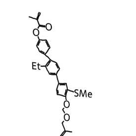 C=C(C)COCOc1ccc(-c2ccc(-c3ccc(OC(=O)C(=C)C)cc3)c(CC)c2)cc1SC